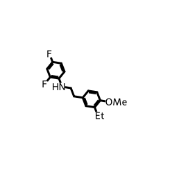 CCc1cc(CCNc2ccc(F)cc2F)ccc1OC